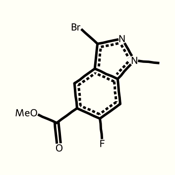 COC(=O)c1cc2c(Br)nn(C)c2cc1F